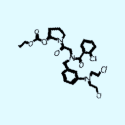 CCOC(=O)OC1CCCN1C(=O)CN(Cc1cccc(N(CCCl)CCCl)c1)C(=O)c1ccccc1Cl